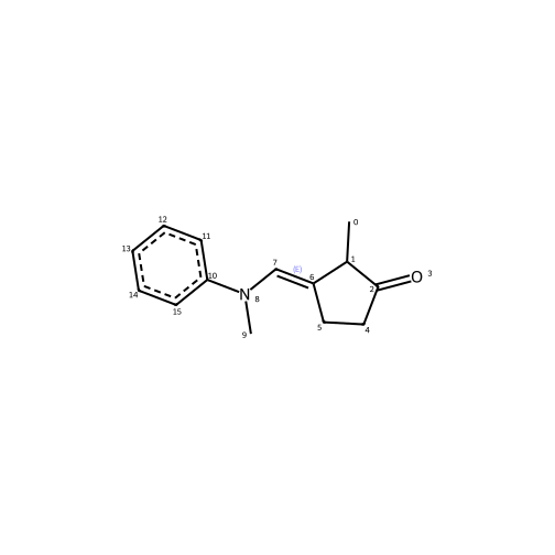 CC1C(=O)CC/C1=C\N(C)c1ccccc1